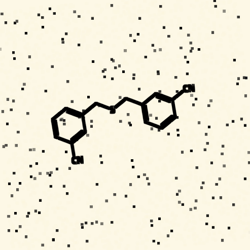 N#Cc1cccc(CSCc2cccc(C#N)c2)c1